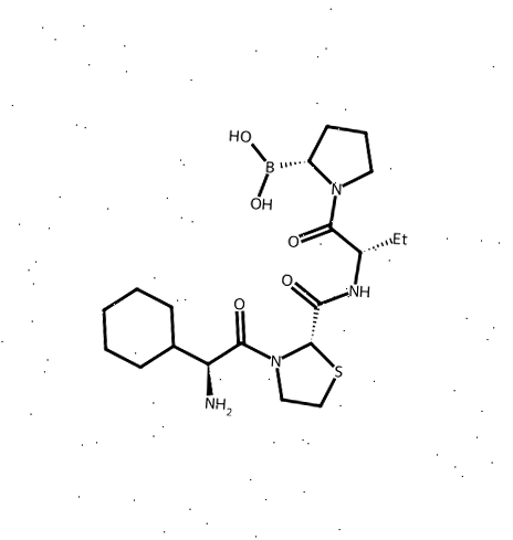 CC[C@H](NC(=O)[C@@H]1SCCN1C(=O)[C@@H](N)C1CCCCC1)C(=O)N1CCC[C@H]1B(O)O